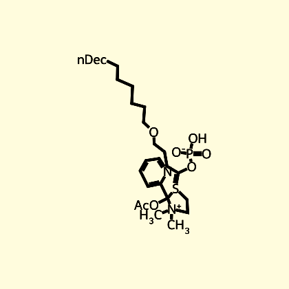 CCCCCCCCCCCCCCCCOCCCC(OP(=O)([O-])O)=S1CC[N+](C)(C)C1(OC(C)=O)c1ccccn1